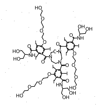 O=C(NC(CO)CO)c1c(I)c(OCCOCCOCCO)c(I)c(C(=O)N2CCN(C(=O)c3c(I)c(OCCOCCOCCO)c(I)c(C(=O)NC(CO)CO)c3I)CCN(C(=O)c3c(I)c(OCCOCCOCCO)c(I)c(C(=O)NC(CO)CO)c3I)CC2)c1I